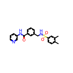 Cc1ccc(S(=O)(=O)NCc2cccc(C(=O)Nc3cccnc3)c2)cc1C